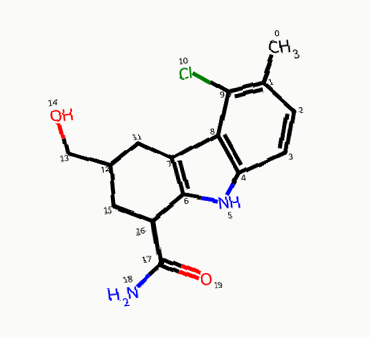 Cc1ccc2[nH]c3c(c2c1Cl)CC(CO)CC3C(N)=O